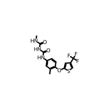 CNC(=O)NC(=O)Nc1ccc(Oc2cc(C(F)(F)F)cs2)c(C)c1